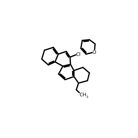 C1=CCOC=C1.CCC1CCCc2c1ccc1c3c(cc(Cl)c21)=CCCC=3